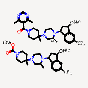 COC1CC(N2CCN(C3(C)CCN(C(=O)OC(C)(C)C)CC3)CC2C)c2ccc(C(F)(F)F)cc21.COC1CC(N2CCN(C3(C)CCN(C(=O)c4c(C)ncnc4C)CC3)C[C@@H]2C)c2ccc(C(F)(F)F)cc21